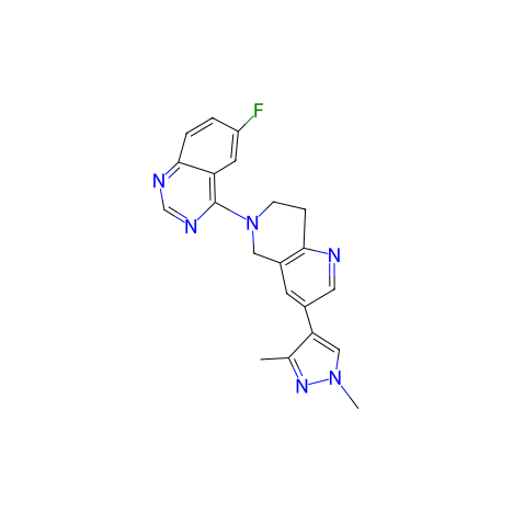 Cc1nn(C)cc1-c1cnc2c(c1)CN(c1ncnc3ccc(F)cc13)CC2